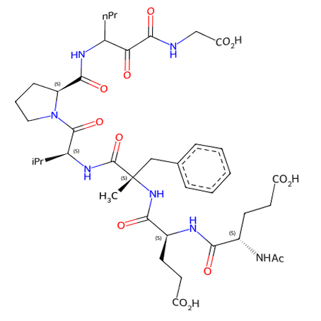 CCCC(NC(=O)[C@@H]1CCCN1C(=O)[C@@H](NC(=O)[C@](C)(Cc1ccccc1)NC(=O)[C@H](CCC(=O)O)NC(=O)[C@H](CCC(=O)O)NC(C)=O)C(C)C)C(=O)C(=O)NCC(=O)O